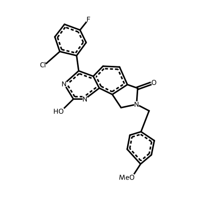 COc1ccc(CN2Cc3c(ccc4c(-c5cc(F)ccc5Cl)nc(O)nc34)C2=O)cc1